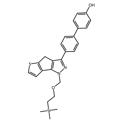 C[Si](C)(C)CCOCn1nc(-c2ccc(-c3ccc(O)cc3)cc2)c2c1-c1ccsc1C2